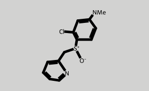 CNc1ccc([S+]([O-])Cc2ccccn2)c(Cl)c1